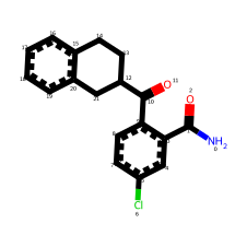 NC(=O)c1cc(Cl)ccc1C(=O)C1CCc2ccccc2C1